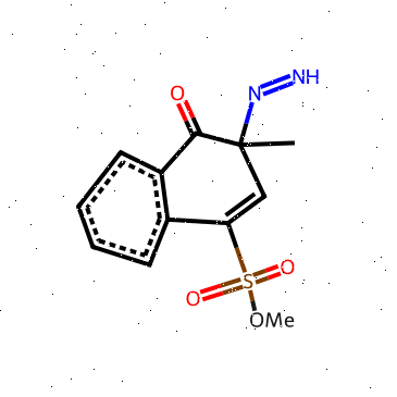 COS(=O)(=O)C1=CC(C)(N=N)C(=O)c2ccccc21